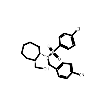 N#Cc1ccc(CN([C@H]2CCCCC[C@@H]2CO)S(=O)(=O)c2ccc(Cl)cc2)cc1